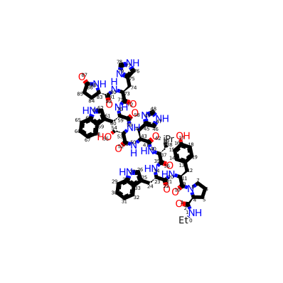 CCNC(=O)[C@@H]1CCCN1C(=O)[C@H](Cc1ccc(O)cc1)NC(=O)[C@H](Cc1c[nH]c2ccccc12)NC(=O)[C@@H](CC(C)C)NC(=O)[C@H](Cc1c[nH]cn1)NC(=O)[C@H](CO)NC(=O)[C@H](Cc1c[nH]c2ccccc12)NC(=O)[C@H](Cc1c[nH]cn1)NC(=O)[C@@H]1CCC(=O)N1